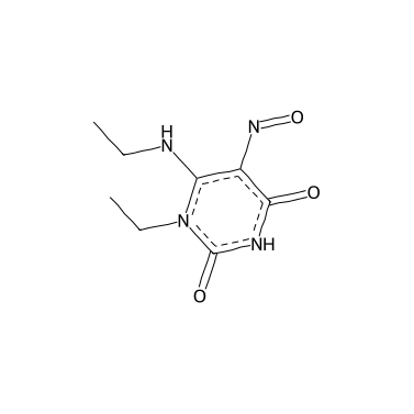 CCNc1c(N=O)c(=O)[nH]c(=O)n1CC